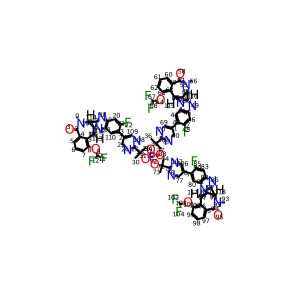 CN1C(=O)c2cccc(OC(F)F)c2[C@H]2C[C@@H]1c1nc3cc(F)c(-c4cnc(C(C)(C)OP(=O)(OC(C)(C)c5ncc(-c6cc7c(cc6F)nc6n7[C@@H]7C[C@H]6N(C)C(=O)c6cccc(OC(F)F)c67)cn5)OC(C)(C)c5ncc(-c6cc7c(cc6F)nc6n7[C@@H]7C[C@H]6N(C)C(=O)c6cccc(OC(F)F)c67)cn5)nc4)cc3n12